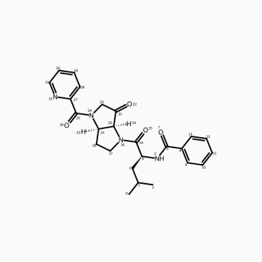 CC(C)C[C@H](NC(=O)c1ccccc1)C(=O)N1CC[C@@H]2[C@H]1C(=O)CN2C(=O)c1ccccn1